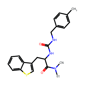 CCN(C#N)C(=O)C(Cc1csc2ccccc12)NC(=O)NCc1ccc(C)cc1